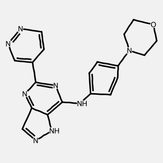 c1cc(-c2nc(Nc3ccc(N4CCOCC4)cc3)c3[nH]ncc3n2)cnn1